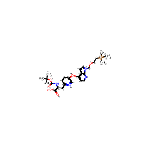 CC(C)(C)OC(=O)N[C@@H](Cc1ccc(Oc2ccnc3c2ccn3COCCS(C)(C)C)cn1)C(=O)O